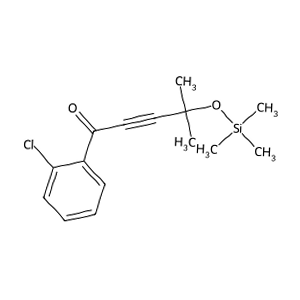 CC(C)(C#CC(=O)c1ccccc1Cl)O[Si](C)(C)C